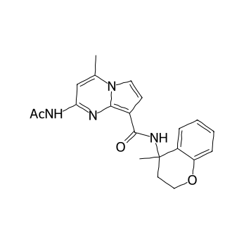 CC(=O)Nc1cc(C)n2ccc(C(=O)NC3(C)CCOc4ccccc43)c2n1